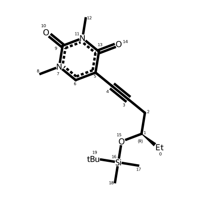 CC[C@H](CC#Cc1cn(C)c(=O)n(C)c1=O)O[Si](C)(C)C(C)(C)C